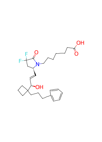 O=C(O)CCCCCCN1C(=O)C(F)(F)C[C@@H]1/C=C/[C@@H](O)C1(CCCc2ccccc2)CCC1